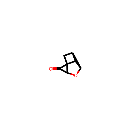 O=C1C2OC3C4CC12C43